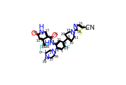 C[C@@H]1CN(c2cc(F)c(C3=CCN(c4ncc(C#N)s4)CC3)cc2NC(=O)c2c[nH]c(=O)cc2C(F)F)CCN1C